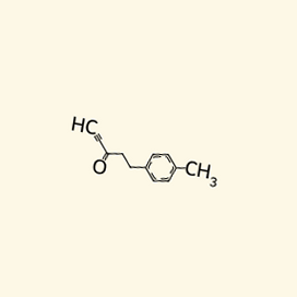 C#CC(=O)CCc1ccc(C)cc1